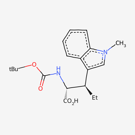 CC[C@H](c1cn(C)c2ccccc12)[C@@H](NC(=O)OC(C)(C)C)C(=O)O